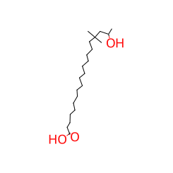 CC(O)CC(C)(C)CCCCCCCCCCCCCCCC(=O)O